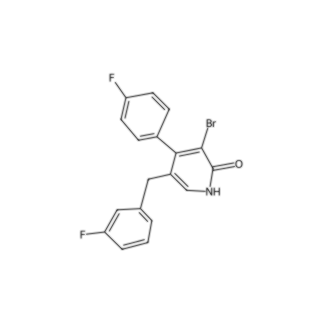 O=c1[nH]cc(Cc2cccc(F)c2)c(-c2ccc(F)cc2)c1Br